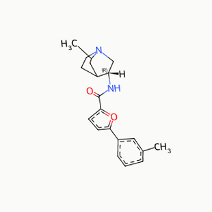 Cc1cccc(-c2ccc(C(=O)N[C@H]3CN4CCC3CC4C)o2)c1